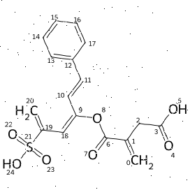 C=C(CC(=O)O)C(=O)OC(C=Cc1ccccc1)=CC(=C)S(=O)(=O)O